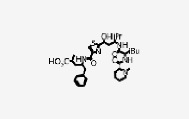 CCC(C)C(NC(=O)[C@H]1CCCCN1C)C(=O)NC(CC(O)c1nc(C(=O)NC(Cc2ccccc2)CC(C)C(=O)O)cs1)C(C)C